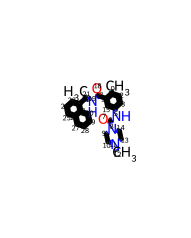 Cc1ccc(NC(=O)N2CCN(C)CC2)cc1C(=O)N[C@H](C)c1cccc2ccccc12